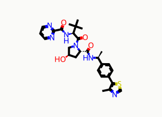 Cc1ncsc1-c1ccc([C@H](C)NC(=O)[C@@H]2C[C@@H](O)CN2C(=O)[C@@H](NC(=O)c2ncccn2)C(C)(C)C)cc1